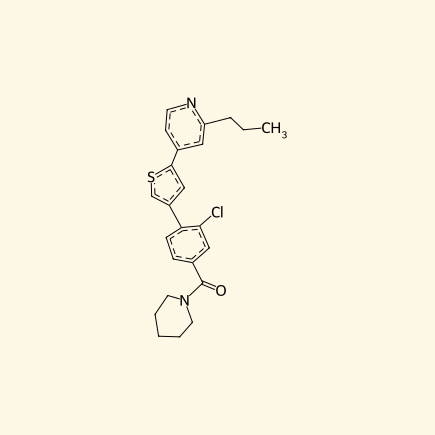 CCCc1cc(-c2cc(-c3ccc(C(=O)N4CCCCC4)cc3Cl)cs2)ccn1